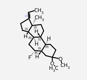 C/C=C1/CC[C@H]2[C@@H]3C[C@@H](F)[C@H]4CC(OC)(OC)CC[C@@H]4[C@H]3CC[C@]12C